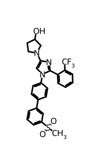 CS(=O)(=O)c1cccc(-c2ccc(-n3cc(N4CCC(O)C4)nc3-c3ccccc3C(F)(F)F)cc2)c1